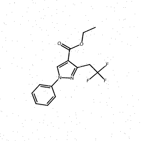 CCOC(=O)c1cn(-c2ccccc2)nc1CC(F)(F)F